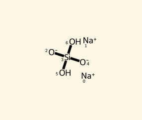 [Na+].[Na+].[O-][Si]([O-])(O)O